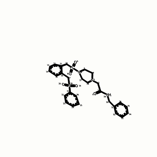 O=C(CN1CCN(S(=O)(=O)Cc2ccccc2CS(=O)(=O)c2ccccc2)CC1)NCc1ccccc1